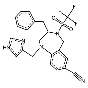 N#Cc1ccc2c(c1)CN(S(=O)(=O)C(F)(F)F)C(Cc1ccccc1)CN2Cc1c[nH]cn1